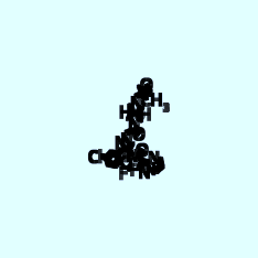 CC1(CN2C[C@@H]3CN(C(=O)Cn4cc(NC(=O)c5cnn6cccnc56)c(-c5cc(Cl)ccc5OC(F)F)n4)C[C@@H]3C2)COC1